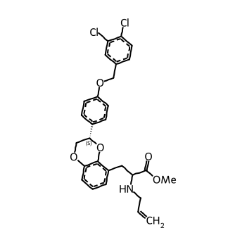 C=CCNC(Cc1cccc2c1O[C@@H](c1ccc(OCc3ccc(Cl)c(Cl)c3)cc1)CO2)C(=O)OC